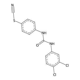 N#CSc1ccc(NC(=O)Nc2ccc(Cl)c(Cl)c2)cc1